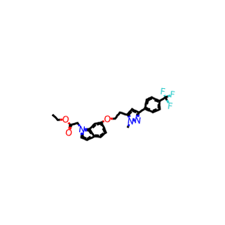 CCOC(=O)Cn1ccc2ccc(OCCc3cc(-c4ccc(C(F)(F)F)cc4)nn3C)cc21